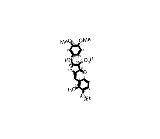 CCOc1cccc(C=C2SC(Nc3ccc(OC)c(OC)c3)=C(C(=O)O)C2=O)c1O